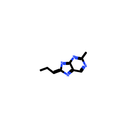 CCC=C1N=c2cnc(C)nc2=N1